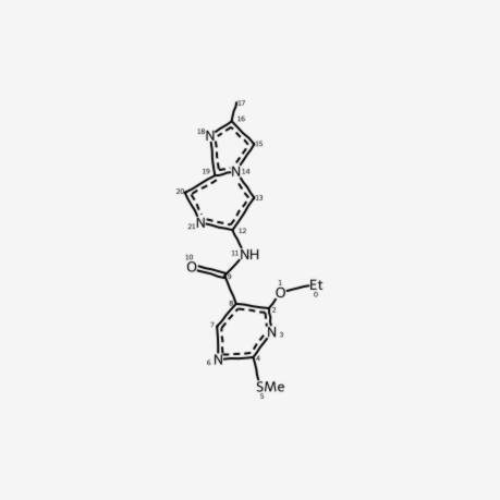 CCOc1nc(SC)ncc1C(=O)Nc1cn2cc(C)nc2cn1